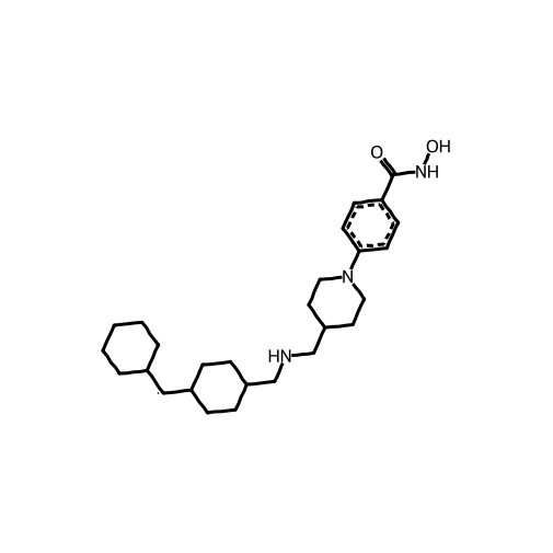 O=C(NO)c1ccc(N2CCC(CNCC3CCC([CH]C4CCCCC4)CC3)CC2)cc1